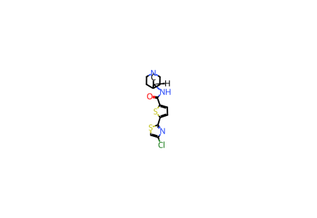 O=C(N[C@H]1CN2CCC1CC2)c1ccc(-c2nc(Cl)cs2)s1